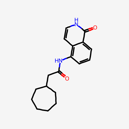 O=C(CC1CCCCCC1)Nc1cccc2c(=O)[nH]ccc12